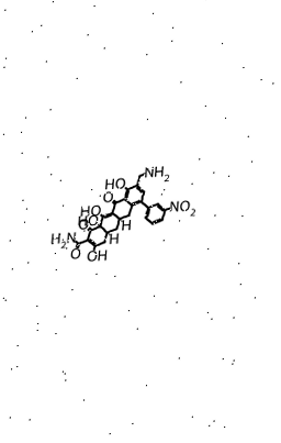 NCc1cc(-c2cccc([N+](=O)[O-])c2)c2c(c1O)C(=O)C1=C(O)[C@]3(O)C(=O)C(C(N)=O)=C(O)C[C@@H]3C[C@@H]1C2